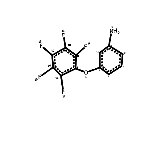 Nc1cccc(Oc2c(F)c(F)c(F)c(F)c2F)c1